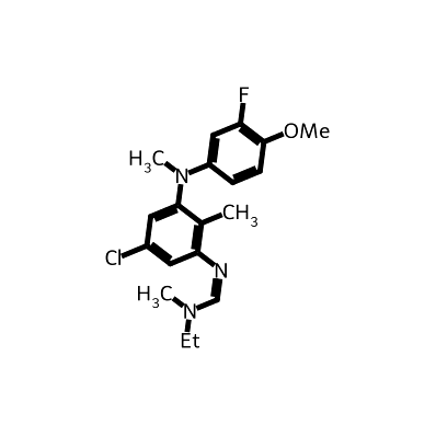 CCN(C)/C=N\c1cc(Cl)cc(N(C)c2ccc(OC)c(F)c2)c1C